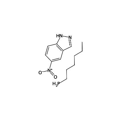 CCCCCCP.O=[N+]([O-])c1ccc2[nH]ncc2c1